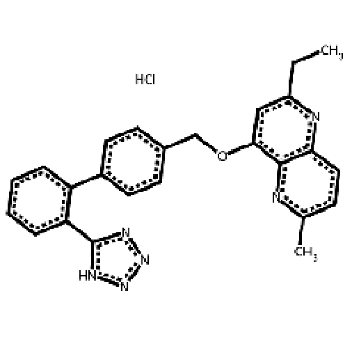 CCc1cc(OCc2ccc(-c3ccccc3-c3nnn[nH]3)cc2)c2nc(C)ccc2n1.Cl